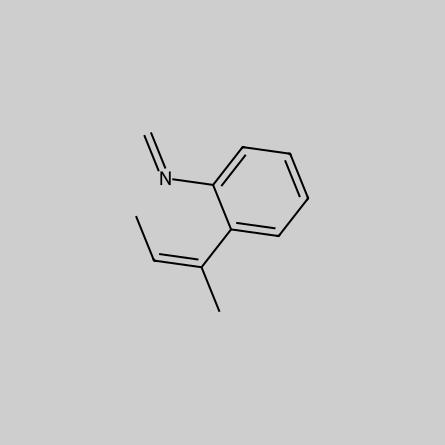 C=Nc1ccccc1/C(C)=C\C